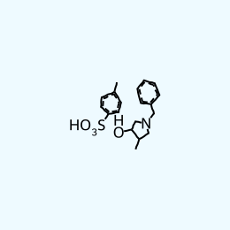 CC1CN(Cc2ccccc2)CC1O.Cc1ccc(S(=O)(=O)O)cc1